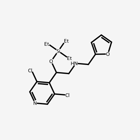 CC[Si](CC)(CC)OC(CNCc1ccco1)c1c(Cl)cncc1Cl